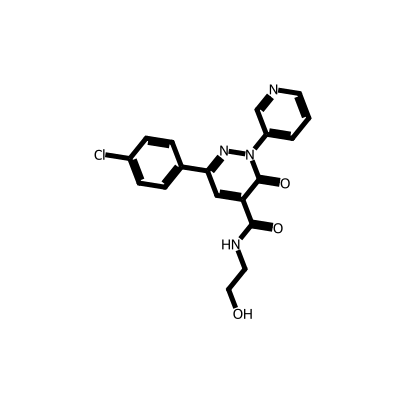 O=C(NCCO)c1cc(-c2ccc(Cl)cc2)nn(-c2cccnc2)c1=O